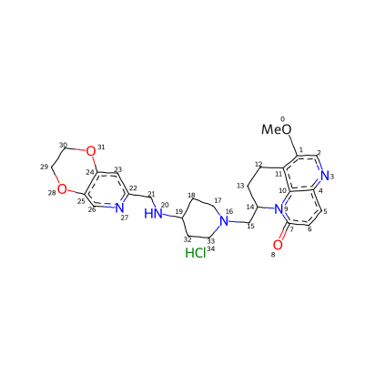 COc1cnc2ccc(=O)n3c2c1CCC3CN1CCC(NCc2cc3c(cn2)OCCO3)CC1.Cl